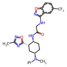 Cc1noc([C@H]2C[C@H](N(C)C(C)C)CC[C@@H]2NC(=O)CNc2noc3ccc(C(F)(F)F)cc23)n1